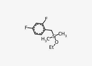 CCO[Si](C)(C)Cc1ccc(F)cc1F